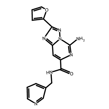 Nc1nc(C(=O)NCc2cccnc2)cc2nc(-c3ccco3)nn12